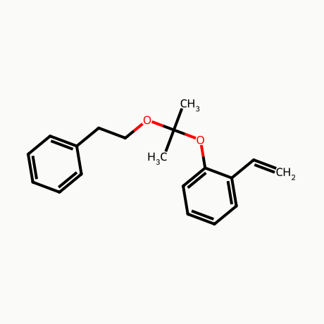 C=Cc1ccccc1OC(C)(C)OCCc1ccccc1